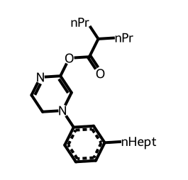 CCCCCCCc1cccc(N2C=C(OC(=O)C(CCC)CCC)N=CC2)c1